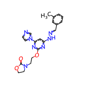 Cc1cccc(C=NNc2cc(-n3ccnc3)nc(OCCN3CCOC3=O)n2)c1